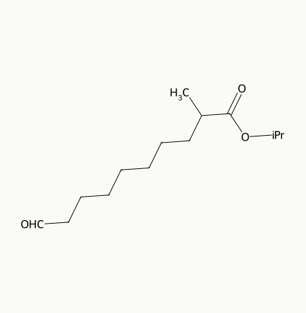 [CH2]C([CH2])OC(=O)C(C)CCCCCCCC=O